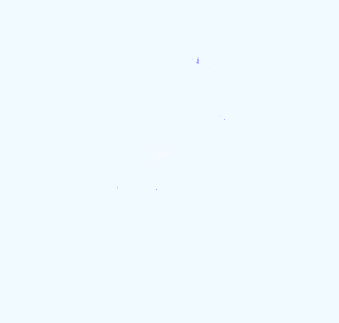 NCc1cncc(COc2cnc3ccc(Br)cc3n2)c1